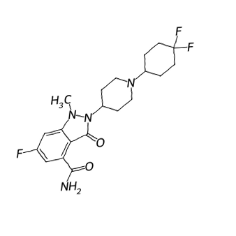 Cn1c2cc(F)cc(C(N)=O)c2c(=O)n1C1CCN(C2CCC(F)(F)CC2)CC1